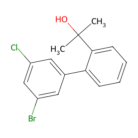 CC(C)(O)c1ccccc1-c1cc(Cl)cc(Br)c1